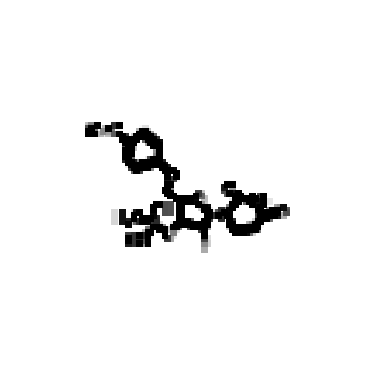 COc1ccc(OC[C@H]2O[C@@H](n3ccc(=O)[nH]c3=O)[C@@H](F)C2O[Si](C)(C)C(C)(C)C)cc1